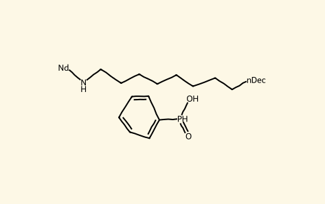 CCCCCCCCCCCCCCCCCC[NH][Nd].O=[PH](O)c1ccccc1